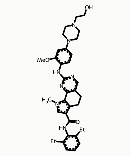 CCc1cccc(CC)c1NC(=O)c1cn(C)c2c1CCc1cnc(Nc3ccc(N4CCN(CCO)CC4)cc3OC)nc1-2